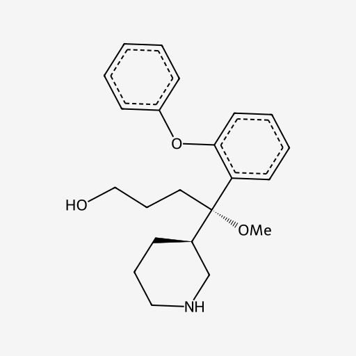 CO[C@](CCCO)(c1ccccc1Oc1ccccc1)[C@@H]1CCCNC1